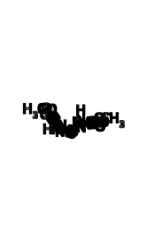 COS(=O)(=O)c1ccc(-c2nc(-c3cccc(-c4n[nH]c(-c5ccc(S(=O)(=O)OC)cc5)n4)c3)n[nH]2)cc1